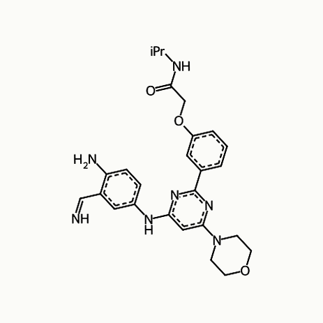 CC(C)NC(=O)COc1cccc(-c2nc(Nc3ccc(N)c(C=N)c3)cc(N3CCOCC3)n2)c1